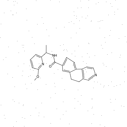 COc1cccc(C(C)NC(=O)c2ccc3c(c2)CCc2cnccc2-3)n1